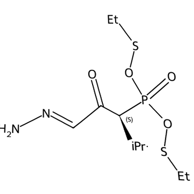 CCSOP(=O)(OSCC)[C@@H]([C](C)C)C(=O)C=NN